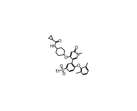 CCS(=O)(=O)c1ccc(Oc2c(C)cccc2C)c(-c2cn(C)c(=O)cc2OC2CCC(NC(=O)C3CC3)CC2)c1